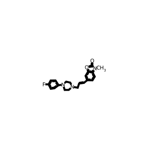 Cn1c(=O)oc2cc(C=CCN3CCN(c4ccc(F)cc4)CC3)ccc21